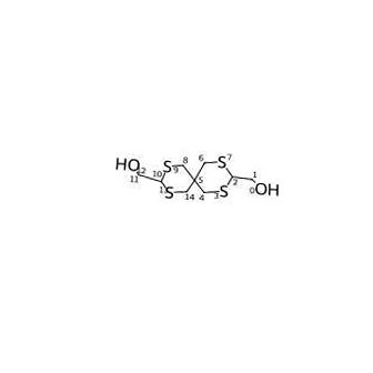 OCC1SCC2(CS1)CSC(CO)SC2